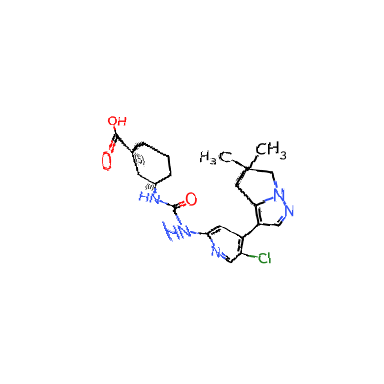 CC1(C)Cc2c(-c3cc(NC(=O)N[C@@H]4CCC[C@H](C(=O)O)C4)ncc3Cl)cnn2C1